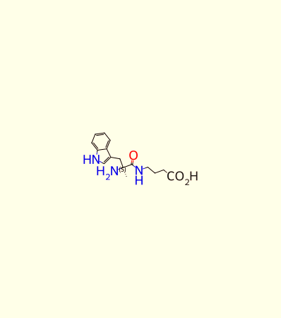 C[C@](N)(Cc1c[nH]c2ccccc12)C(=O)NCCCC(=O)O